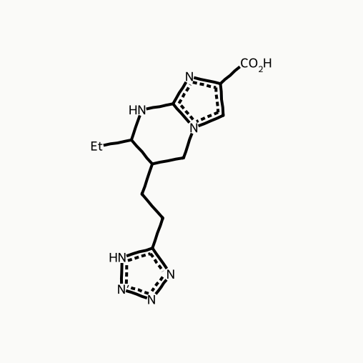 CCC1Nc2nc(C(=O)O)cn2CC1CCc1nnn[nH]1